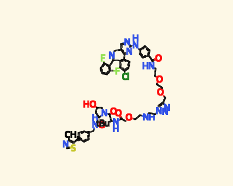 Cc1ncsc1-c1ccc(CNC(=O)[C@@H]2C[C@@H](O)CN2C(=O)[C@@H](NC(=O)COCCNCCn2cc(COCCOCCNC(=O)c3ccc(Nc4ncc5c(n4)-c4ccc(Cl)cc4C(c4c(F)cccc4F)=NC5)cc3)nn2)C(C)(C)C)cc1